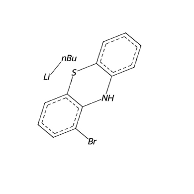 Brc1cccc2c1Nc1ccccc1S2.[Li][CH2]CCC